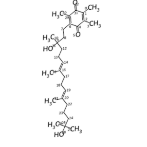 CC1=C(C)C(=O)C(CCC(C)(O)CC/C=C(\C)CC/C=C(\C)CCCC(C)(C)O)=C(C)C1=O